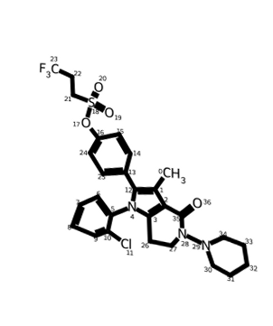 Cc1c2c(n(-c3ccccc3Cl)c1-c1ccc(OS(=O)(=O)CCC(F)(F)F)cc1)CCN(N1CCCCC1)C2=O